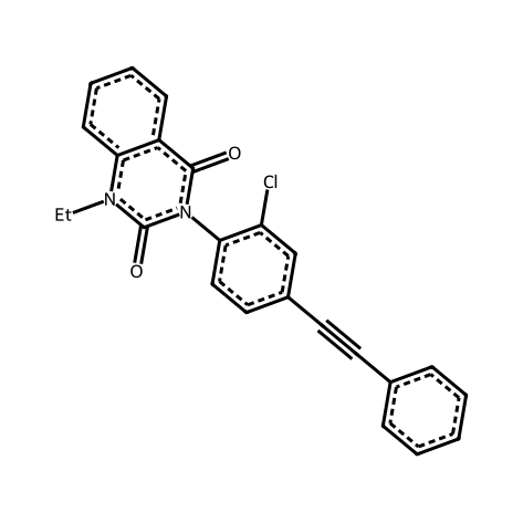 CCn1c(=O)n(-c2ccc(C#Cc3ccccc3)cc2Cl)c(=O)c2ccccc21